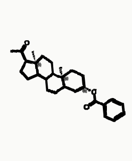 CC(=O)C1CCC2C3CCC4C[C@@H](OC(=O)c5ccccc5)CC[C@]4(C)C3CC[C@]12C